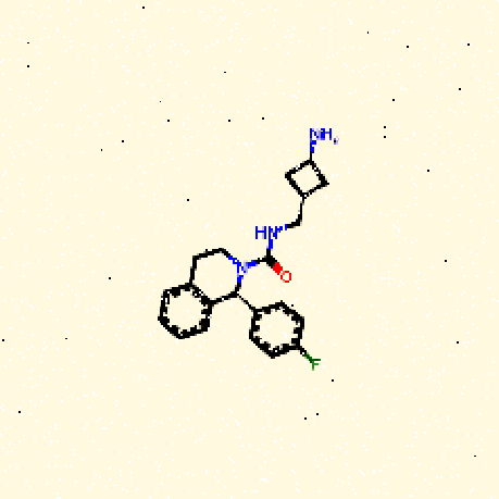 N[C@H]1C[C@@H](CNC(=O)N2CCc3ccccc3[C@@H]2c2ccc(F)cc2)C1